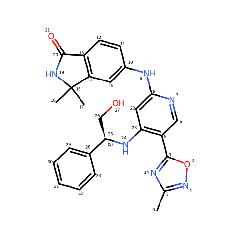 Cc1noc(-c2cnc(Nc3ccc4c(c3)C(C)(C)NC4=O)cc2N[C@H](CO)c2ccccc2)n1